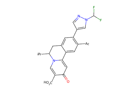 CC(=O)c1cc2c(cc1-c1cnn(C(F)F)c1)CC(C(C)C)n1cc(C(=O)O)c(=O)cc1-2